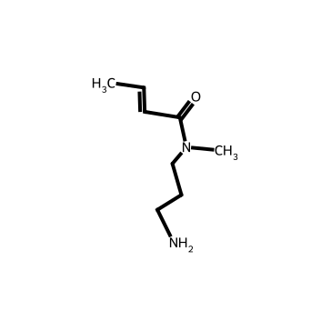 CC=CC(=O)N(C)CCCN